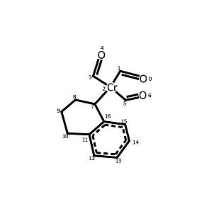 O=[CH][Cr]([CH]=O)([CH]=O)[CH]1CCCc2ccccc21